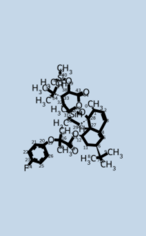 C[C@H]1C=CC2=C[C@@H](C(C)(C)C)C[C@H](OC(=O)C(C)(C)Oc3ccc(F)cc3)[C@@H]2[C@@]1(CC[C@@H]1C[C@H](C(C)(C)C)C(O[SiH](C)C)C(=O)O1)O[SiH](C)C